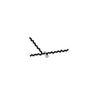 CCCCCCCCCCCCCC(=O)OCC(CCCCCCC)CCCCCCCCCCCC